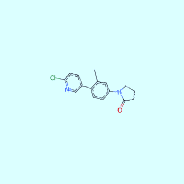 Cc1cc(N2CCCC2=O)ccc1-c1ccc(Cl)nc1